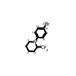 FC(F)(F)C1CCCCN1c1ccc(Br)cc1